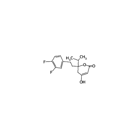 CC(C)C1(CCc2ccc(F)c(F)c2)CC(O)=CC(=O)O1